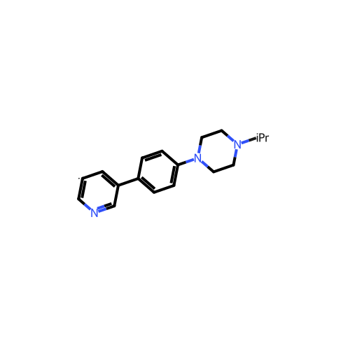 CC(C)N1CCN(c2ccc(-c3c[c]cnc3)cc2)CC1